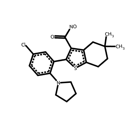 CC1(C)CCc2sc(-c3cc(Cl)ccc3N3CCCC3)c(C(=O)N=O)c2C1